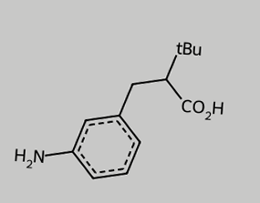 CC(C)(C)C(Cc1cccc(N)c1)C(=O)O